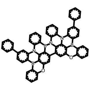 c1ccc(-c2ccc3c(c2)N2c4ccccc4B4c5c(cc6c(c52)B3c2ccccc2O6)-c2cc3c5c6c2N4c2ccccc2N6c2cc(-c4ccccc4)ccc2B5c2ccccc2O3)cc1